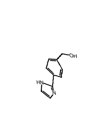 OCc1ccc(-c2ncc[nH]2)cc1